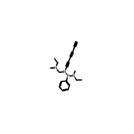 C#CC#CC#CN(CN(C)CC)P(c1ccccc1)N(C)CC